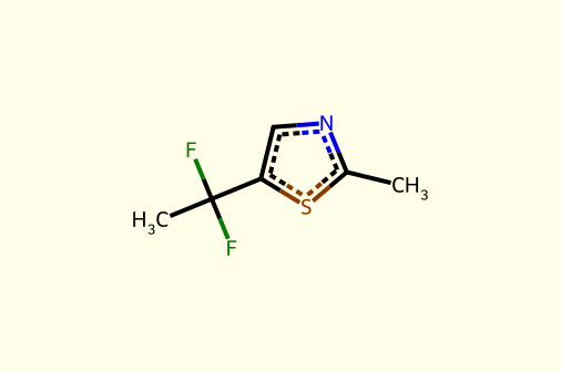 Cc1ncc(C(C)(F)F)s1